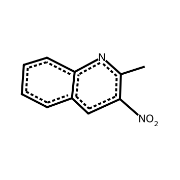 Cc1nc2ccccc2cc1[N+](=O)[O-]